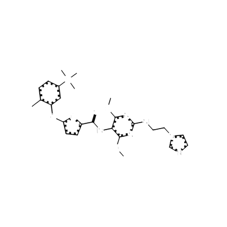 COc1nc(NCCn2ccnc2)nc(OC)c1NC(=O)c1ccc(Oc2cc([Si](C)(C)C)ccc2C)o1